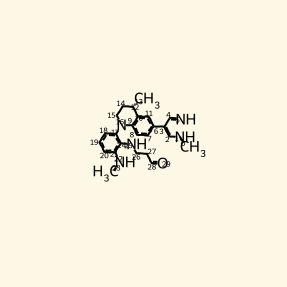 CN/C=C(\C=N)c1ccc2c(c1)[C@@H](C)CCN2c1cccc(NC)c1NCCC=O